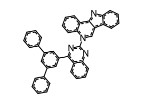 c1ccc(-c2cc(-c3ccccc3)cc(-c3nc(-n4cc5c6ccccc6nc-5c5ccccc54)nc4ccccc34)c2)cc1